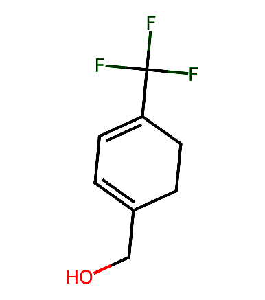 OCC1=CC=C(C(F)(F)F)CC1